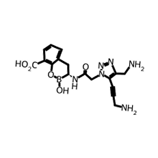 NCC#Cc1c(CN)nnn1CC(=O)N[C@H]1Cc2cccc(C(=O)O)c2OB1O